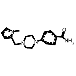 Cn1cccc1CN1CCN(c2ccc(C(N)=O)cc2)CC1